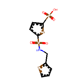 O=S(=O)(O)c1ccc(S(=O)(=O)NCc2cccs2)s1